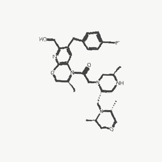 C[C@@H]1CN(CC(=O)N2c3cc(Cc4ccc(F)cc4)c(CO)nc3OC[C@@H]2C)[C@@H](CN2[C@H](C)COC[C@H]2C)CN1